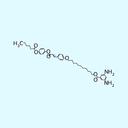 CCCCCC(=O)Oc1ccc(OC(=O)/C=C/c2ccc(OCCCCCCCCCCCOC(=O)c3cc(N)cc(N)c3)cc2)cc1